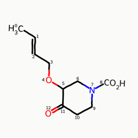 CC=CCOC1CN(C(=O)O)CCC1=O